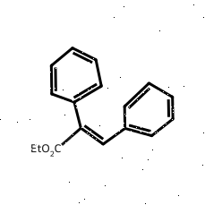 CCOC(=O)C(=Cc1ccccc1)c1ccccc1